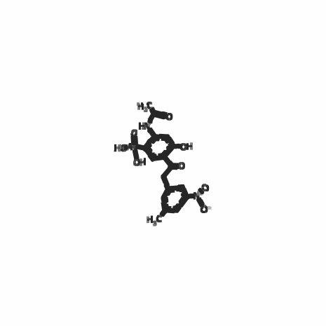 CC(=O)Nc1cc(O)c(C(=O)Cc2cc(C)cc([N+](=O)[O-])c2)cc1[As](=O)(O)O